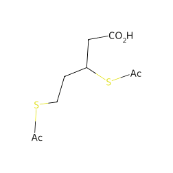 CC(=O)SCCC(CC(=O)O)SC(C)=O